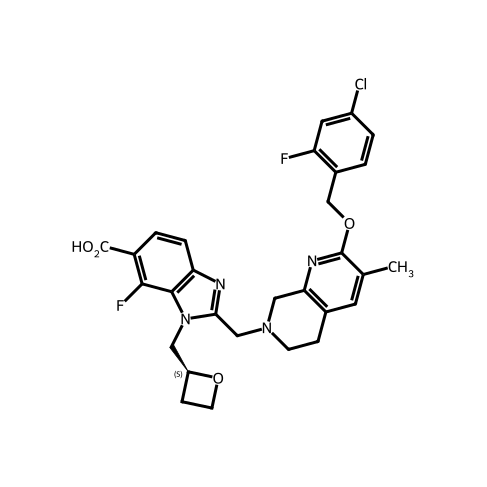 Cc1cc2c(nc1OCc1ccc(Cl)cc1F)CN(Cc1nc3ccc(C(=O)O)c(F)c3n1C[C@@H]1CCO1)CC2